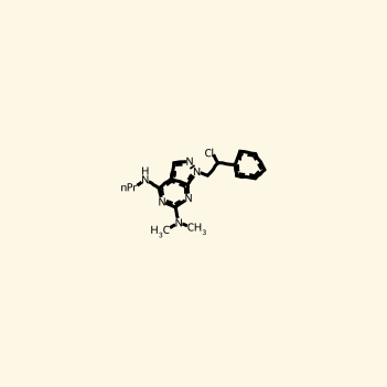 CCCNc1nc(N(C)C)nc2c1cnn2CC(Cl)c1ccccc1